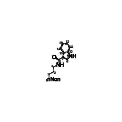 CCCCCCCCCCCCNC(=O)c1c[nH]c2ccccc12